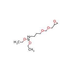 CCO[SiH](CCCCOCOCC1CO1)OCC